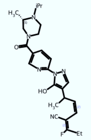 CC/C(F)=C(C#N)\C=C/C(C)c1cnn(-c2ccc(C(=O)N3CCN(C(C)C)[C@@H](C)C3)cn2)c1O